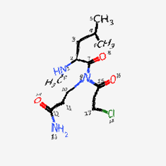 CN[C@@H](CC(C)C)C(=O)N(CCC(N)=O)C(=O)CCl